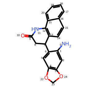 Nc1cc2c(cc1C1CC(=O)Nc3c1ccc1ccccc31)OCO2